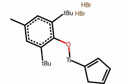 Br.Br.Cc1cc(C(C)(C)C)c([O][Ti][C]2=CC=CC2)c(C(C)(C)C)c1